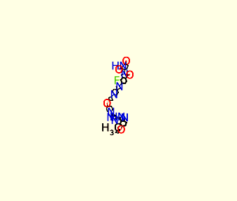 CC1(Oc2ccc3n[nH]c(-c4cc(N5CCC(O[C@H]6C[C@H](N7CCC8(CC7)CN(c7ccc9c(c7F)CN(C7CCC(=O)NC7=O)C9=O)C8)C6)CC5)ncn4)c3c2)CC1